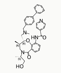 C[C@@H]1CN([C@@H](C)CO)C(=O)c2cccc(NC(=O)c3ccncc3)c2O[C@H]1CN(C)Cc1ccc(-c2ccccc2)cc1